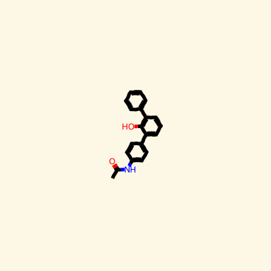 CC(=O)Nc1ccc(-c2cccc(-c3ccccc3)c2O)cc1